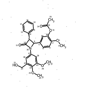 COc1ccc(C2[C@H](c3ccccc3)C(=O)N2c2cc(CO)c(OC)c(OC)c2)cc1OC(C)=O